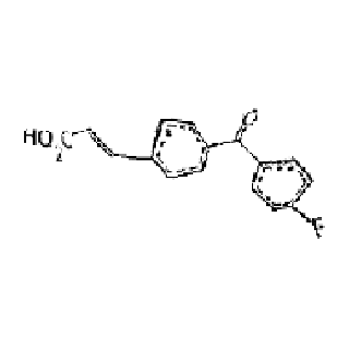 O=C(O)C=Cc1ccc(C(=O)c2ccc(F)cc2)cc1